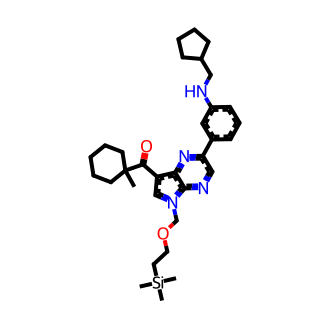 CC1(C(=O)c2cn(COCC[Si](C)(C)C)c3ncc(-c4cccc(NCC5CCCC5)c4)nc23)CCCCC1